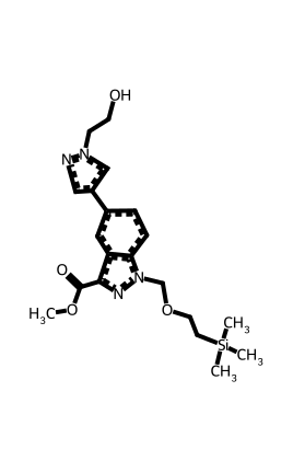 COC(=O)c1nn(COCC[Si](C)(C)C)c2ccc(-c3cnn(CCO)c3)cc12